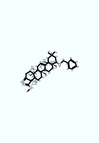 COC(=O)[C@@]1(C)C(=O)CC[C@]2(C)[C@H]3CC=C4[C@@H]5CC(C)(C)C[C@@H](OCc6ccccc6)[C@]5(C)CC[C@@]4(C)[C@]3(C)CC[C@@H]12